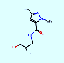 CCCCn1nc(C(C)(C)C)cc1C(=O)NCC(C)CO